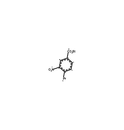 CCOC(=O)c1ccc(C(C)C)c([N+](=O)[O-])c1